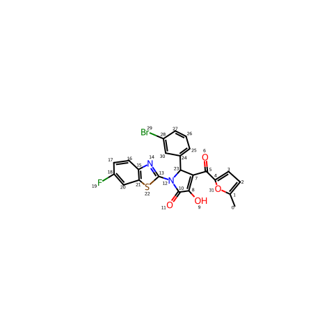 Cc1ccc(C(=O)C2=C(O)C(=O)N(c3nc4ccc(F)cc4s3)C2c2cccc(Br)c2)o1